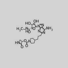 CCNC(=O)[C@H]1O[C@@H](n2cnc3c(N)nc(CCCC4CCN(C(=O)OC5CNC5=O)CC4)nc32)[C@@H](O)C1O